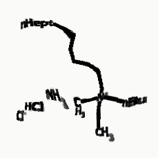 CCCCCCCCCC[N+](C)(C)CCCC.Cl.N.[Cl-]